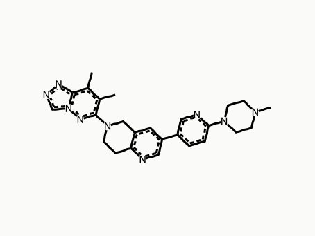 Cc1c(N2CCc3ncc(-c4ccc(N5CCN(C)CC5)nc4)cc3C2)nn2cnnc2c1C